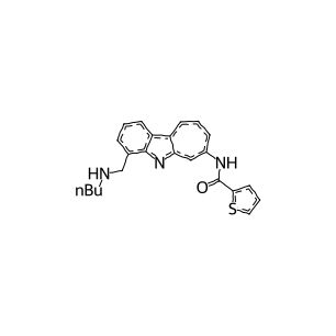 CCCCNCc1cccc2c3cccc(NC(=O)c4cccs4)cc-3nc12